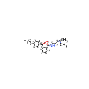 CCc1ccc(C(=O)c2ccccc2C(=O)NCCCN(C)C)cc1